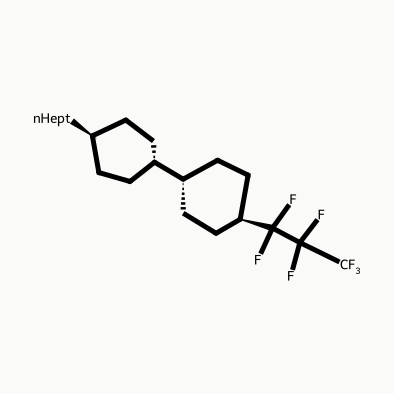 CCCCCCC[C@H]1CC[C@H]([C@H]2CC[C@H](C(F)(F)C(F)(F)C(F)(F)F)CC2)CC1